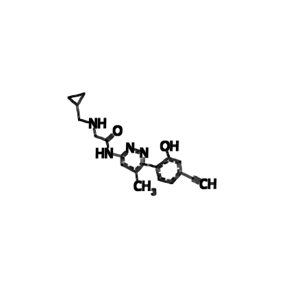 C#Cc1ccc(-c2nnc(NC(=O)CNCC3CC3)cc2C)c(O)c1